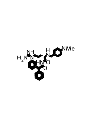 CNC1CCC(CN[C@@H](CCCNC(=N)N)C(=O)NC(=O)C(c2ccccc2)c2ccccc2)CC1